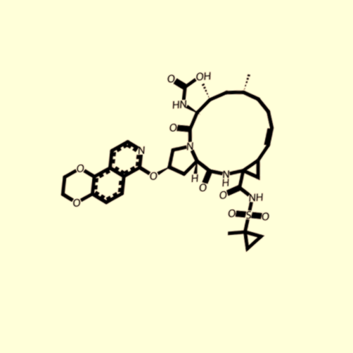 C[C@@H]1CC/C=C\C2CC2(C(=O)NS(=O)(=O)C2(C)CC2)NC(=O)[C@@H]2C[C@@H](Oc3nccc4c5c(ccc34)OCCO5)CN2C(=O)[C@@H](NC(=O)O)[C@H](C)C1